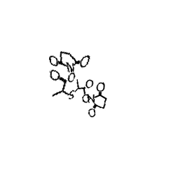 CC(SC(C)C(=O)ON1C(=O)CCC1=O)C(=O)ON1C(=O)CCC1=O